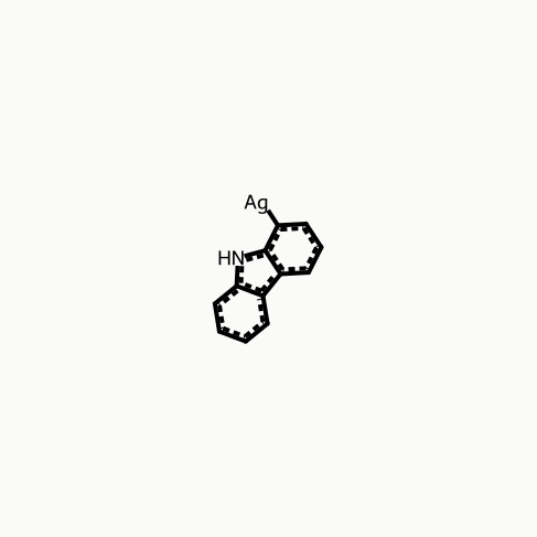 [Ag][c]1cccc2c1[nH]c1ccccc12